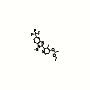 CCOC(C)Oc1ccnc(-c2nc3cc(C(F)(F)F)ccc3n2SC)c1C